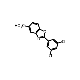 O=C(O)c1ccc2oc(-c3cc(Cl)cc(Cl)c3)nc2c1